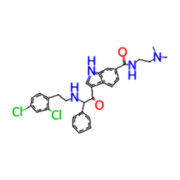 CN(C)CCNC(=O)c1ccc2c(C(=O)C(NCCc3ccc(Cl)cc3Cl)c3ccccc3)c[nH]c2c1